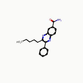 NC(=O)c1ccc2nc(-c3ccccc3)c(CCCCC(=O)O)nc2c1